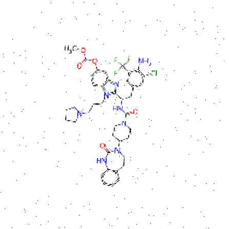 COC(=O)Oc1ccc2c(c1)nc(C(Cc1cc(Cl)c(N)c(C(F)(F)F)c1)NC(=O)N1CCC(N3CCc4ccccc4NC3=O)CC1)n2CCCN1CCCC1